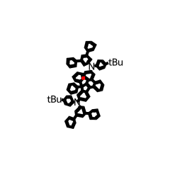 CC(C)(C)c1ccc(N(c2cc(-c3ccccc3)cc(-c3ccccc3)c2)c2ccc3c(c2)C(c2ccccc2)(c2ccccc2)c2c-3c3ccccc3c3cc(N(c4ccc(C(C)(C)C)cc4)c4cc(-c5ccccc5)cc(-c5ccccc5)c4)ccc23)cc1